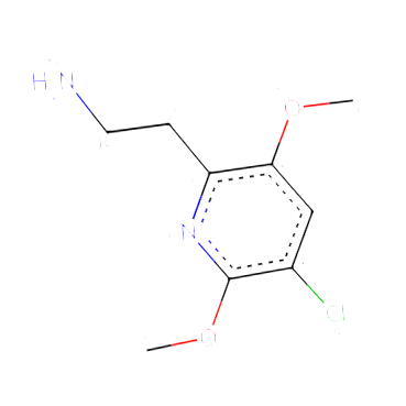 COc1cc(Cl)c(OC)nc1CCN